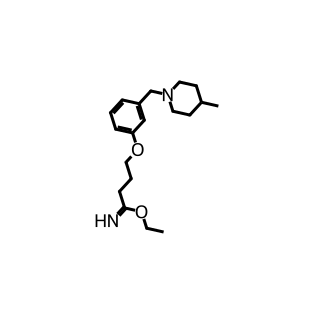 CCOC(=N)CCCOc1cccc(CN2CCC(C)CC2)c1